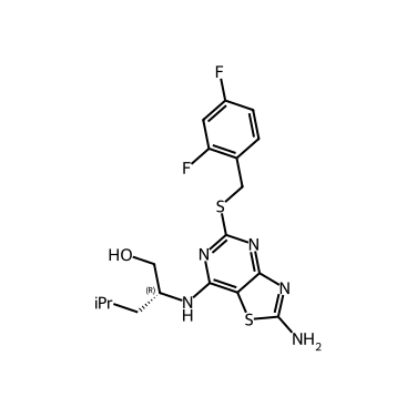 CC(C)C[C@H](CO)Nc1nc(SCc2ccc(F)cc2F)nc2nc(N)sc12